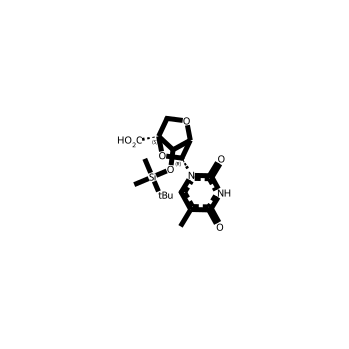 Cc1cn([C@@H]2O[C@@]3(C(=O)O)COC2C3O[Si](C)(C)C(C)(C)C)c(=O)[nH]c1=O